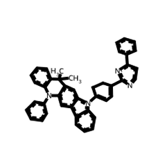 CC1(C)c2ccccc2N(c2ccccc2)c2cc3c4ccccc4n(C4=CC=C(c5nccc(-c6ccccc6)n5)CC4)c3cc21